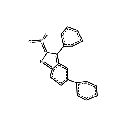 O=S(=O)=C1N=c2ccc(-c3ccccc3)cc2=C1c1ccccc1